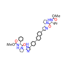 COC(=O)N[C@H](C(=O)N1CCC[C@H]1C1=NC=C(c2ccc3cc(-c4ccc(-c5cnc([C@@H]6CCCN6C(=O)[C@H](NC(=O)OC)c6ccccc6)[nH]5)cc4)ccc3c2)C1)C(C)C